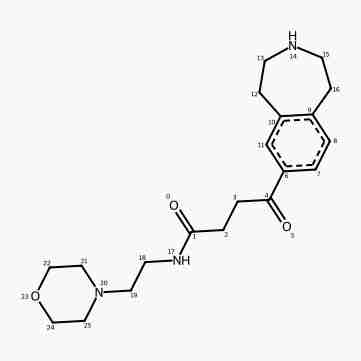 O=C(CCC(=O)c1ccc2c(c1)CCNCC2)NCCN1CCOCC1